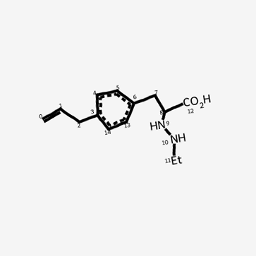 C=CCc1ccc(CC(NNCC)C(=O)O)cc1